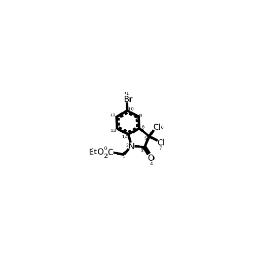 CCOC(=O)CN1C(=O)C(Cl)(Cl)c2cc(Br)ccc21